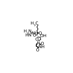 CCCCCC(=O)C(ONC(=N)N)[C@H]1O[C@@H](n2ccc(=O)[nH]c2=O)C[C@@H]1O